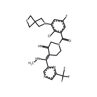 CN/C(=C1/CCN(C(=O)c2cc(F)cc(N3CC4(CSC4)C3)c2Cl)CC1=N)c1cncc(C(F)(F)F)n1